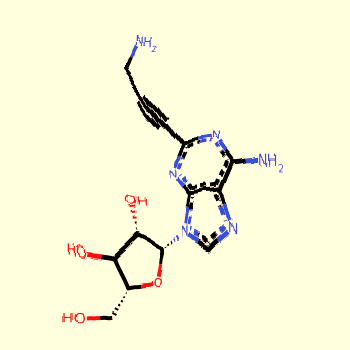 NCC#Cc1nc(N)c2ncn([C@@H]3O[C@H](CO)C(O)[C@@H]3O)c2n1